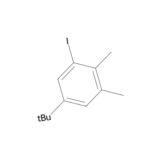 Cc1cc(C(C)(C)C)cc(I)c1C